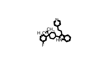 CN(C)C1(c2cccc(F)c2)CCC(c2[nH]c3ccccc3c2CCc2ccncc2)CC1